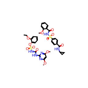 CCOc1ccccc1OS(=O)(=O)NC(=O)Nc1nc(OC)cc(OC)n1.COc1ccccc1C(=O)NS(=O)(=O)c1ccc(C(=O)NC2CC2)cc1